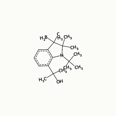 BC1(C)c2cccc(C(C)(C)O)c2N(C(C)(C)C)C1(C)C